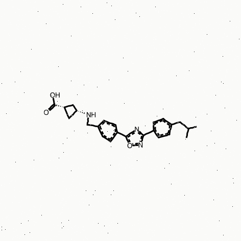 CC(C)Cc1ccc(-c2noc(-c3ccc(CN[C@H]4C[C@@H](C(=O)O)C4)cc3)n2)cc1